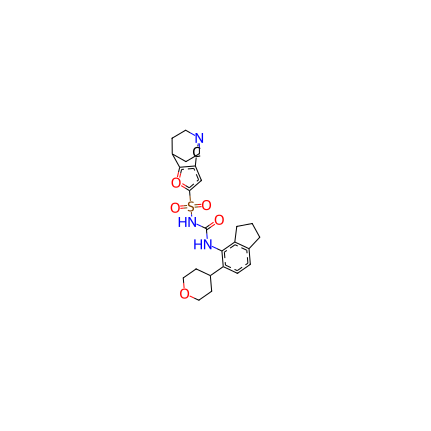 O=C(Nc1c(C2CCOCC2)ccc2c1CCC2)NS(=O)(=O)c1cc2c(o1)C1CCN(CC1)C2